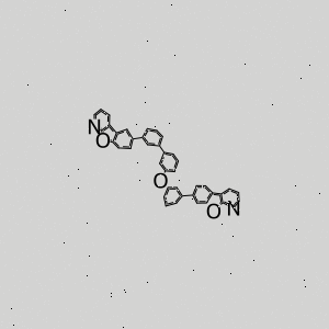 c1cc(Oc2cccc(-c3ccc4c(c3)oc3ncccc34)c2)cc(-c2cccc(-c3ccc4oc5ncccc5c4c3)c2)c1